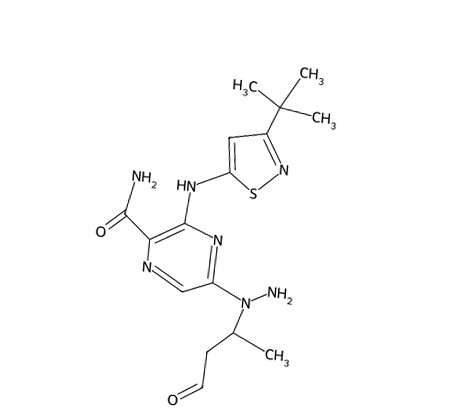 CC(CC=O)N(N)c1cnc(C(N)=O)c(Nc2cc(C(C)(C)C)ns2)n1